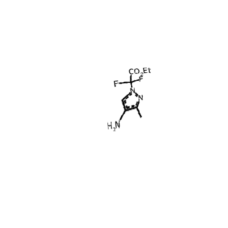 CCOC(=O)C(F)(F)n1cc(N)c(C)n1